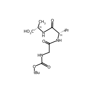 CC(C)[C@H](NC(=O)CNC(=O)OC(C)(C)C)C(=O)N[C@@H](C)C(=O)O